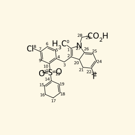 CC1=C(Cc2ccc(Cl)cc2S(=O)(=O)C2=CCCC=C2)C2CC(F)=CC=C2N1CC(=O)O